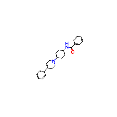 O=C(N[C@H]1CC[C@H](N2CC=C(c3ccccc3)CC2)CC1)c1ccccc1